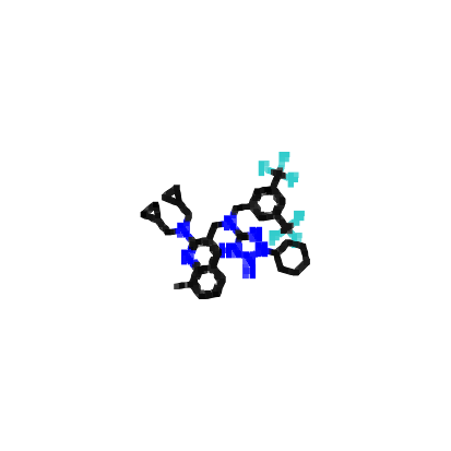 Cc1cccc2cc(CN(Cc3cc(C(F)(F)F)cc(C(F)(F)F)c3)C3=NN(C4CCCCC4)NN3)c(N(CC3CC3)CC3CC3)nc12